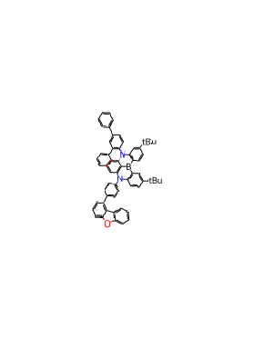 CC(C)(C)c1ccc2c(c1)B1c3ccc(C(C)(C)C)cc3N(c3ccc(-c4ccccc4)cc3-c3ccccc3)c3cccc(c31)N2c1ccc(-c2cccc3oc4ccccc4c23)cc1